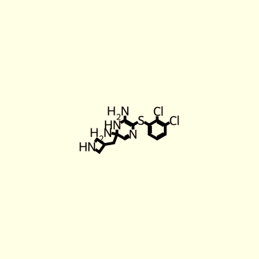 NC1=C(Sc2cccc(Cl)c2Cl)N=CC(N)(CC2CNC2)N1